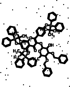 CC1OC(Oc2c(-c3ccc(O[Si](c4ccccc4)(c4ccccc4)C(C)(C)C)cc3)oc3cc(O[Si](c4ccccc4)(c4ccccc4)C(C)(C)C)cc(O[Si](c4ccccc4)(c4ccccc4)C(C)(C)C)c3c2=O)C(O)C(OCc2ccccc2)C1OCc1ccccc1